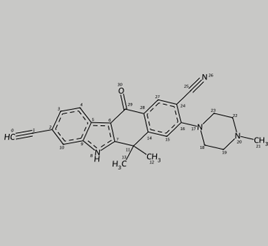 C#Cc1ccc2c3c([nH]c2c1)C(C)(C)c1cc(N2CCN(C)CC2)c(C#N)cc1C3=O